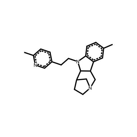 Cc1ccc2c(c1)C1CN3CCC(C3)C1N2CCc1ccc(C)nc1